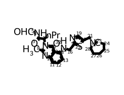 CCCC(C(=O)NC=O)n1c(C)nc2cccc(NCc3ncc(CN4CCCCCC4)s3)c2c1=O